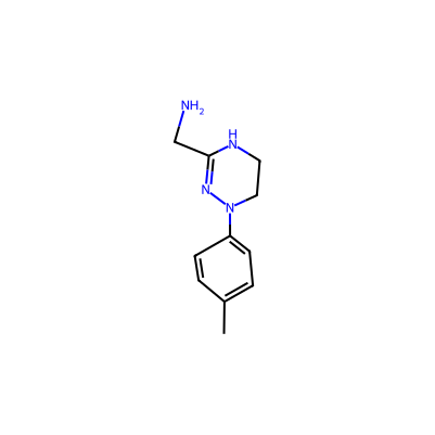 Cc1ccc(N2CCNC(CN)=N2)cc1